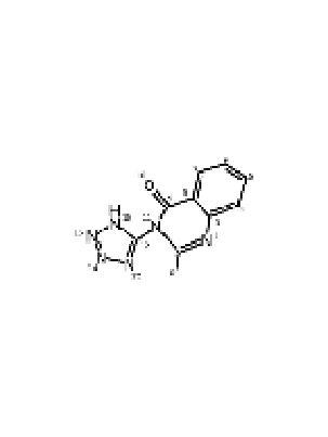 Cc1nc2ccccc2c(=O)n1-c1nnn[nH]1